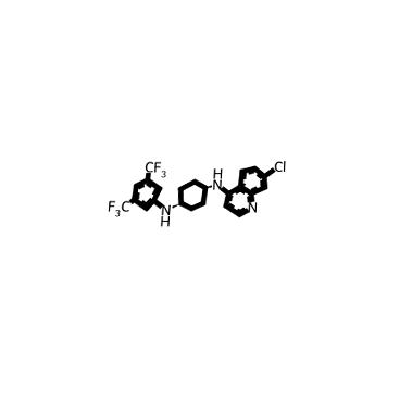 FC(F)(F)c1cc(N[C@H]2CC[C@@H](Nc3ccnc4cc(Cl)ccc34)CC2)cc(C(F)(F)F)c1